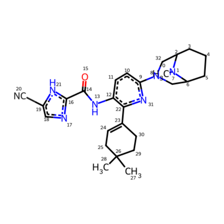 CN1C2CCCC1CN(c1ccc(NC(=O)c3ncc(C#N)[nH]3)c(C3=CCC(C)(C)CC3)n1)C2